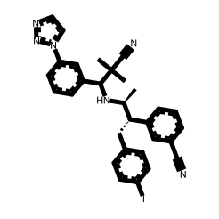 C[C@H](NC(c1cccc(-n2ccnn2)c1)C(C)(C)C#N)[C@@H](Cc1ccc(I)cc1)c1cccc(C#N)c1